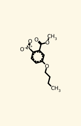 CCCCOc1ccc([N+](=O)[O-])c(C(=O)OC)c1